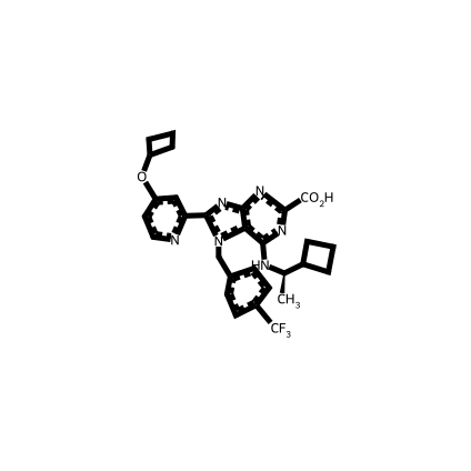 C[C@@H](Nc1nc(C(=O)O)nc2nc(-c3cc(OC4CCC4)ccn3)n(Cc3ccc(C(F)(F)F)cc3)c12)C1CCC1